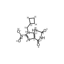 O=c1[nH]c(=O)c2nc([N+](=O)[O-])n(CC3CCC3)c2[nH]1